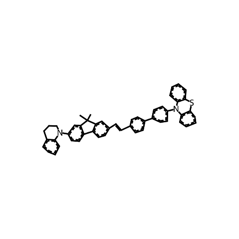 CC1(C)c2cc(/C=C/c3ccc(-c4ccc(N5c6ccccc6Sc6ccccc65)cc4)cc3)ccc2-c2ccc(N3CCCc4ccccc43)cc21